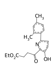 CCOC(=O)CCC(=O)c1nc(-c2ccc(C)cc2C)ccc1O